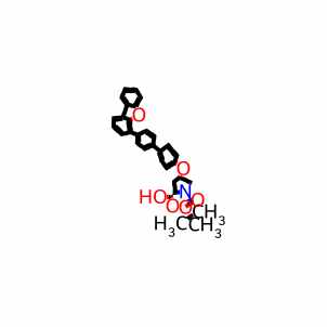 CC(C)(C)OC(=O)N1CC(Oc2ccc(-c3ccc(-c4cccc5c4oc4ccccc45)cc3)cc2)C[C@H]1C(=O)O